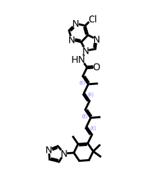 CC1=C(/C=C/C(C)=C/C=C/C(C)=C/C(=O)Nn2cnc3c(Cl)ncnc32)C(C)(C)CCC1n1ccnc1